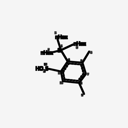 CCCCCC[Si](CCCCCC)(CCCCCC)c1c(C)cc(C)cc1S(=O)(=O)O